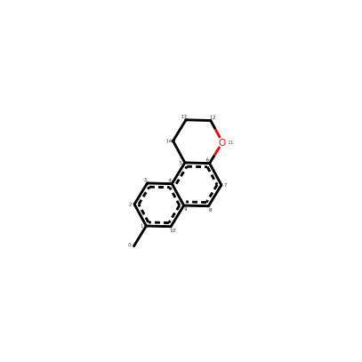 Cc1ccc2c3c(ccc2c1)OCCC3